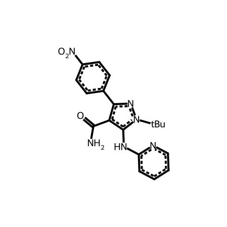 CC(C)(C)n1nc(-c2ccc([N+](=O)[O-])cc2)c(C(N)=O)c1Nc1ccccn1